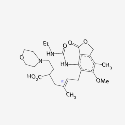 CCNC(=O)Nc1c(C/C=C(\C)CC(CCN2CCOCC2)C(=O)O)c(OC)c(C)c2c1C(=O)OC2